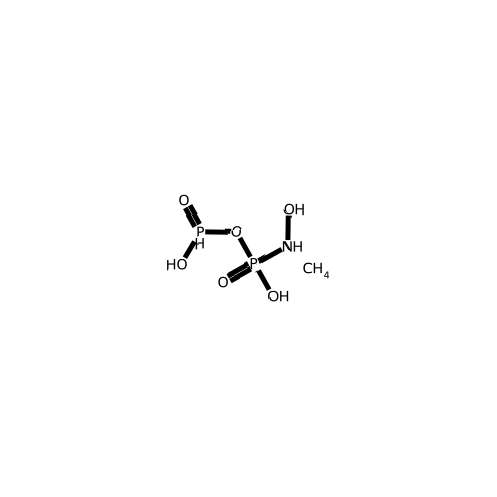 C.O=[PH](O)OP(=O)(O)NO